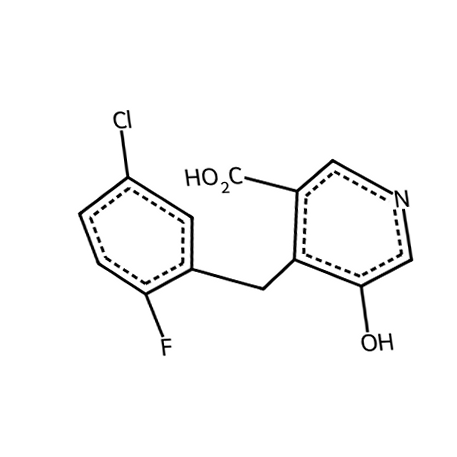 O=C(O)c1cncc(O)c1Cc1cc(Cl)ccc1F